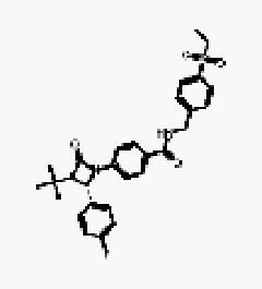 CCS(=O)(=O)c1ccc(CNC(=O)c2ccc(N3C(=O)[C@H](C(C)(C)C)[C@H]3c3ccc(F)cc3)cc2)cc1